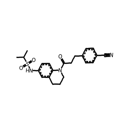 CC(C)S(=O)(=O)Nc1ccc2c(c1)CCCN2C(=O)CCc1ccc(C#N)cc1